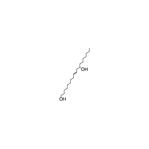 CCCCCCCC(O)CC=CCCCCCCCCO